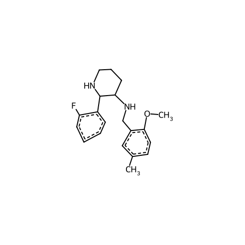 COc1ccc(C)cc1CNC1CCCNC1c1ccccc1F